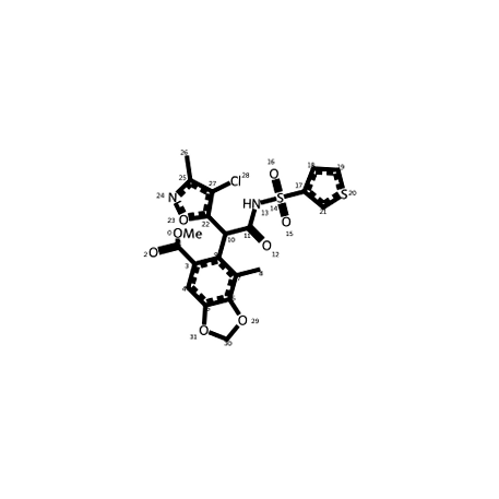 COC(=O)c1cc2c(c(C)c1C(C(=O)NS(=O)(=O)c1ccsc1)c1onc(C)c1Cl)OCO2